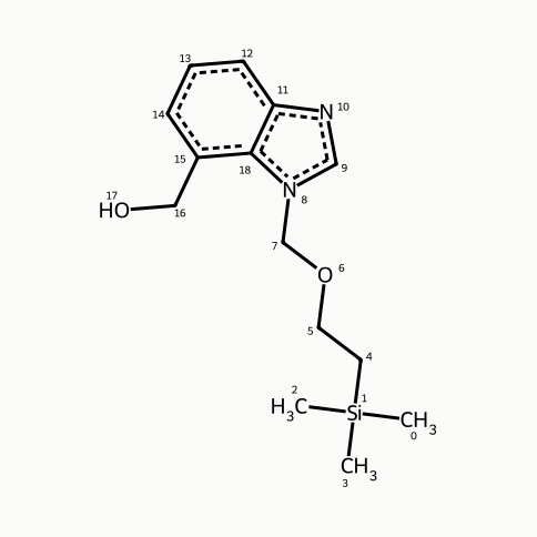 C[Si](C)(C)CCOCn1cnc2cccc(CO)c21